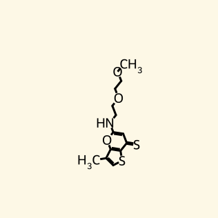 COCCOCCNc1cc(=S)c2scc(C)c2o1